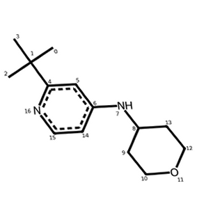 CC(C)(C)c1cc(NC2CCOCC2)ccn1